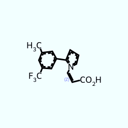 Cc1cc(-c2cccn2/C=C\C(=O)O)cc(C(F)(F)F)c1